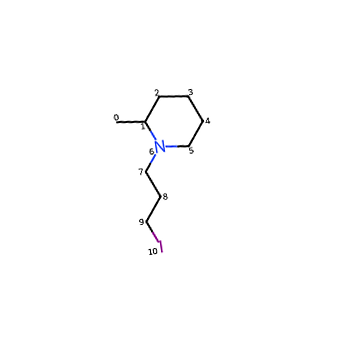 CC1CCCCN1CCCI